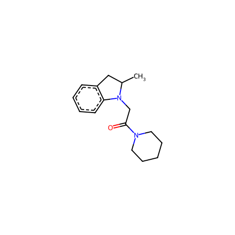 CC1Cc2ccccc2N1CC(=O)N1CCCCC1